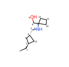 CC[C@H]1C[C@H](CNC2(CO)CCC2)C1